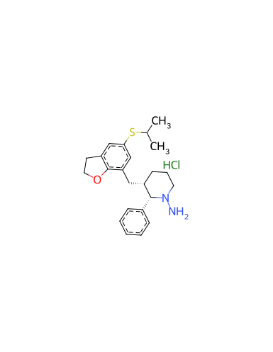 CC(C)Sc1cc2c(c(C[C@@H]3CCCN(N)[C@@H]3c3ccccc3)c1)OCC2.Cl